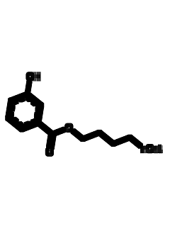 CCCCCCCCCCCCOC(=O)c1cccc(O)c1